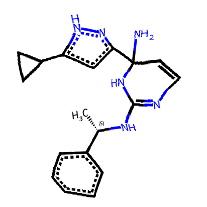 C[C@H](NC1=NC=CC(N)(c2cc(C3CC3)[nH]n2)N1)c1ccccc1